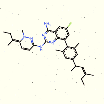 CC/C(C)=C\C(C)c1cc(C)c(-c2cc(F)cc3c(N)nc(NC4=NN(C)/C(=C(/C)CC)C=C4)nc23)c(C)c1